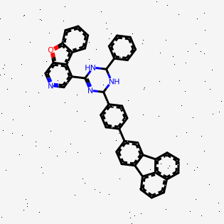 c1ccc(C2NC(c3cncc4oc5ccccc5c34)=NC(c3ccc(-c4ccc5c(c4)-c4cccc6cccc-5c46)cc3)N2)cc1